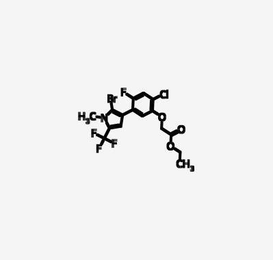 CCOC(=O)COc1cc(-c2cc(C(F)(F)F)n(C)c2Br)c(F)cc1Cl